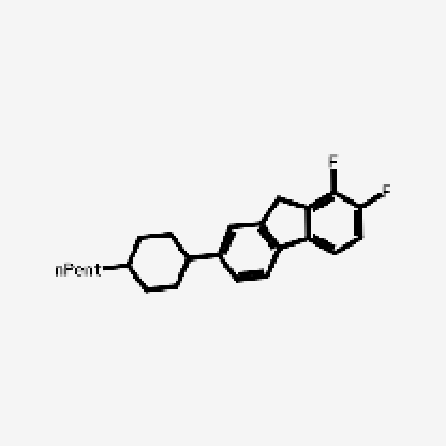 CCCCCC1CCC(c2ccc3c(c2)Cc2c-3ccc(F)c2F)CC1